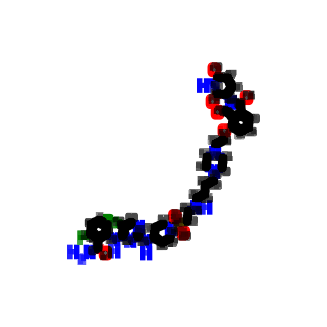 NC(=O)c1c(F)cccc1Nc1nc(NC2CCN(S(=O)(=O)CCNCCCCN3CCN(CCOc4cccc5c4C(=O)N(C4CCC(=O)NC4=O)C5=O)CC3)CC2)ncc1Br